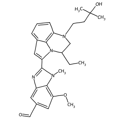 CCC1CN(CCC(C)(C)O)c2cccc3cc(-c4nc5cc(C=O)cc(OC)c5n4C)n1c23